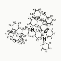 c1ccc(-n2c3ccccc3c3cc(N(c4ccc5c(c4)-c4ccccc4C54c5ccccc5Oc5ccccc54)c4cccc5c4-c4ccccc4C54c5ccccc5Sc5ccccc54)ccc32)cc1